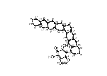 COC1=C(O)C(=O)C(C)=C(c2cccc3cc4cc5ccc6cc7cc8cc9ccccc9cc8cc7cc6c5cc4cc23)C1=O